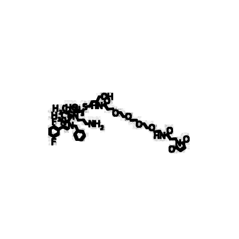 CC(C)(C)[C@H](c1nc(-c2cc(F)ccc2F)cn1Cc1ccccc1)N(CCCN)C(O)CSCCC(CO)NC(=O)CCOCCOCCOCCOCCNC(=O)CCN1C(=O)C=CC1=O